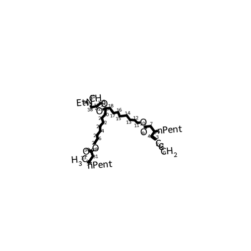 C=C=C=C=CC(CCCCC)CC(=O)OCCCCCCCCC1(CCCCCCCCOC(=O)CC(C)CCCCC)OCC(CN(C)CC)O1